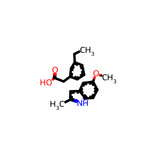 CCc1cccc(CC(=O)O)c1.COc1ccc2[nH]c(C)cc2c1